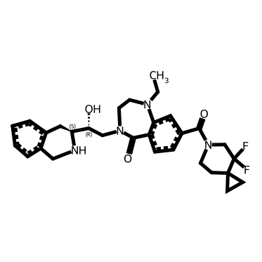 CCN1CCN(C[C@@H](O)[C@@H]2Cc3ccccc3CN2)C(=O)c2ccc(C(=O)N3CCC4(CC4)C(F)(F)C3)cc21